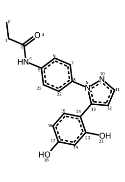 CCC(=O)Nc1ccc(-n2nccc2-c2ccc(O)cc2O)cc1